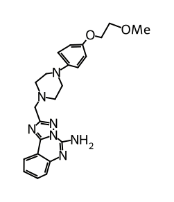 COCCOc1ccc(N2CCN(Cc3nc4c5ccccc5nc(N)n4n3)CC2)cc1